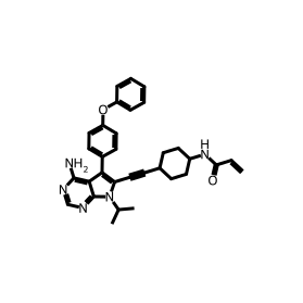 C=CC(=O)NC1CCC(C#Cc2c(-c3ccc(Oc4ccccc4)cc3)c3c(N)ncnc3n2C(C)C)CC1